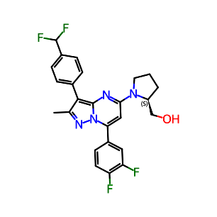 Cc1nn2c(-c3ccc(F)c(F)c3)cc(N3CCC[C@H]3CO)nc2c1-c1ccc(C(F)F)cc1